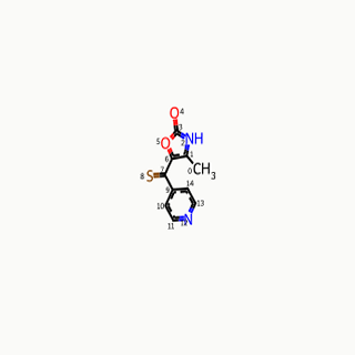 Cc1[nH]c(=O)oc1C(=S)c1ccncc1